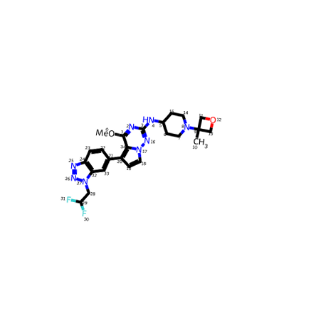 COc1nc(NC2CCN(C3(C)COC3)CC2)nn2ccc(-c3ccc4nnn(CC(F)F)c4c3)c12